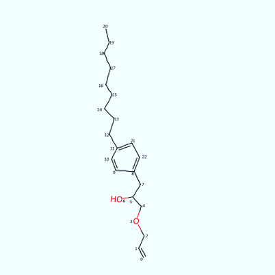 C=CCOCC(O)Cc1ccc(CCCCCCCCC)cc1